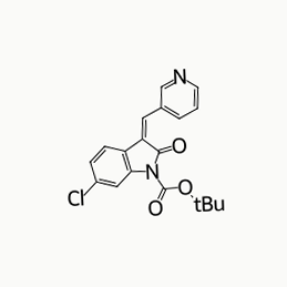 CC(C)(C)OC(=O)N1C(=O)C(=Cc2cccnc2)c2ccc(Cl)cc21